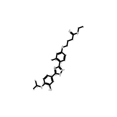 CCOC(=O)CCCOc1ccc(-c2noc(-c3ccc(OC(C)C)c(Cl)c3)n2)c(C)c1